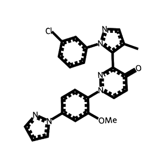 COc1cc(-n2cccn2)ccc1-n1ccc(=O)c(-c2c(C)cnn2-c2cccc(Cl)c2)n1